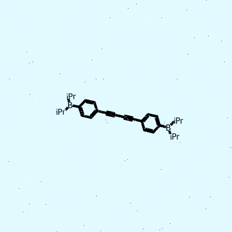 CC(C)B(c1ccc(C#CC#Cc2ccc(B(C(C)C)C(C)C)cc2)cc1)C(C)C